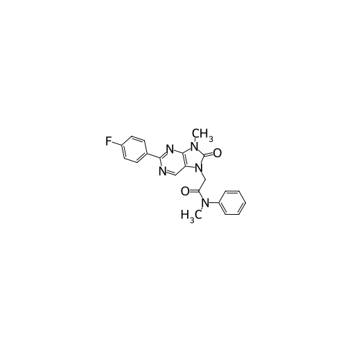 CN(C(=O)Cn1c(=O)n(C)c2nc(-c3ccc(F)cc3)ncc21)c1ccccc1